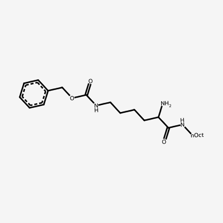 CCCCCCCCNC(=O)C(N)CCCCNC(=O)OCc1ccccc1